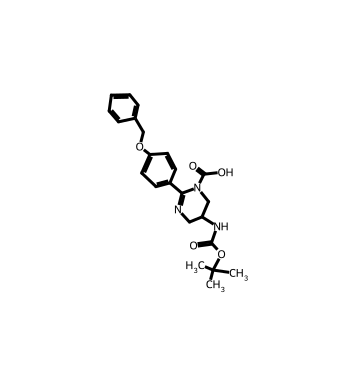 CC(C)(C)OC(=O)NC1CN=C(c2ccc(OCc3ccccc3)cc2)N(C(=O)O)C1